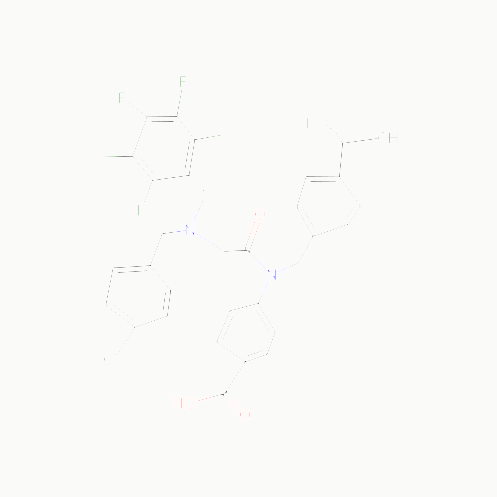 CC(C)c1ccc(CN(C(=O)CN(Cc2ccc(Cl)cc2)Sc2c(F)c(F)c(F)c(F)c2F)c2ccc(C(=O)O)cc2)cc1